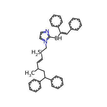 CC(C=C[SiH2]Cn1ccnc1BC(=Cc1ccccc1)c1ccccc1)CC(c1ccccc1)c1ccccc1